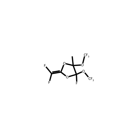 CC1(OC(F)(F)F)OC(=C(F)F)OC1(F)OC(F)(F)F